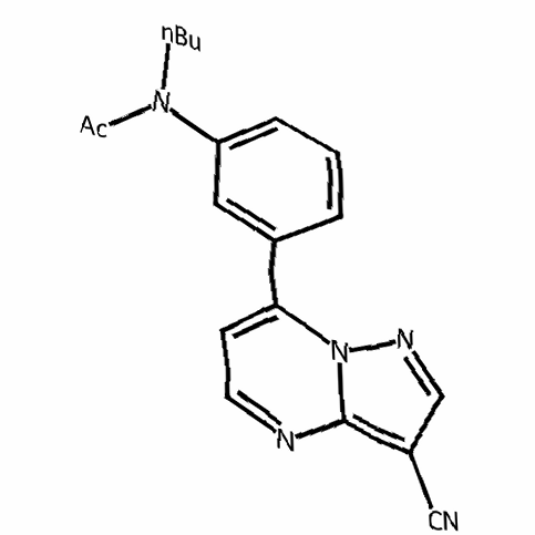 CCCCN(C(C)=O)c1cccc(-c2ccnc3c(C#N)cnn23)c1